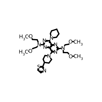 COCCN(CCOC)c1nc(N2CCC(c3nccs3)CC2)c2nc(N(CCOC)CCOC)nc(N3CCCCC3)c2n1